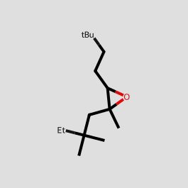 CCC(C)(C)CC1(C)OC1CCC(C)(C)C